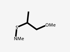 CNSC(C)COC